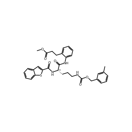 COC(=O)CCc1ccccc1NC(=O)[C@H](CCCNC(=O)OCc1cccc(C)c1)NC(=O)c1cc2ccccc2s1